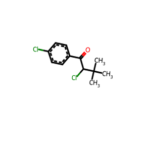 CC(C)(C)C(Cl)C(=O)c1ccc(Cl)cc1